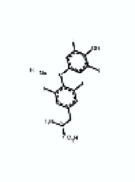 I.N[C@@H](Cc1cc(I)c(Oc2cc(I)c(O)c(I)c2)c(I)c1)C(=O)O.[Na]